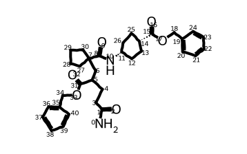 NC(=O)CCC(CC1(C(=O)N[C@H]2CC[C@@H](C(=O)OCc3ccccc3)CC2)CCCC1)C(=O)OCc1ccccc1